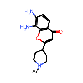 CC(=O)N1CCC(c2cc(=O)c3ccc(N)c(N)c3o2)CC1